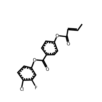 CC=CC(=O)Oc1ccc(C(=O)Oc2ccc(Cl)c(F)c2)cc1